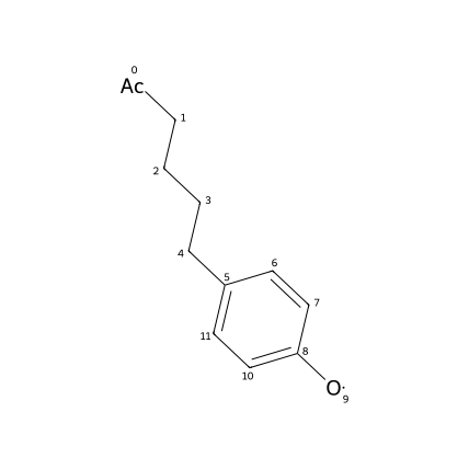 CC(=O)CCCCc1ccc([O])cc1